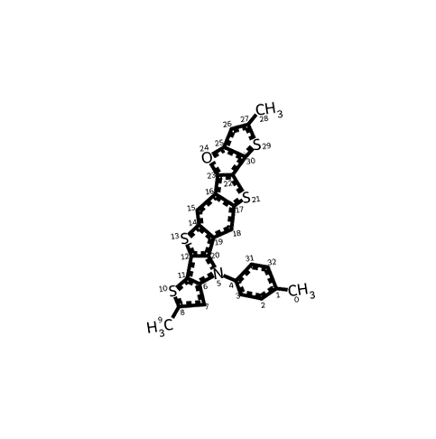 Cc1ccc(-n2c3cc(C)sc3c3sc4cc5c(cc4c32)sc2c5oc3cc(C)sc32)cc1